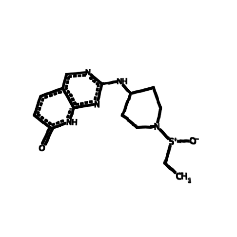 CC[S+]([O-])N1CCC(Nc2ncc3ccc(=O)[nH]c3n2)CC1